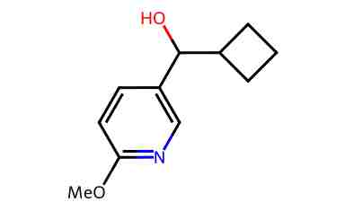 COc1ccc(C(O)C2CCC2)cn1